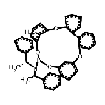 Cc1c2cccc1OP(N([C@H](C)c1ccccc1)[C@H](C)c1ccccc1)Oc1cccc(c1)Oc1ccccc1-c1ccccc1O2